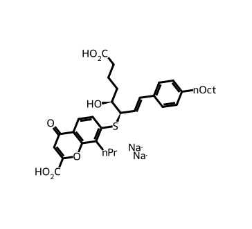 CCCCCCCCc1ccc(C=C[C@@H](Sc2ccc3c(=O)cc(C(=O)O)oc3c2CCC)[C@@H](O)CCCC(=O)O)cc1.[Na].[Na]